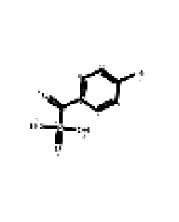 CC(C)(C)c1ccc(C(=O)P(=O)(O)O)cc1